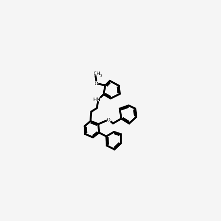 COc1ccccc1NCCc1cccc(-c2ccccc2)c1OCc1ccccc1